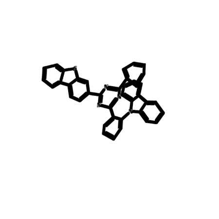 c1ccc(-c2nc(-c3ccc4c(c3)sc3ccccc34)nc(-c3ccccc3-n3c4ccccc4c4ccccc43)n2)cc1